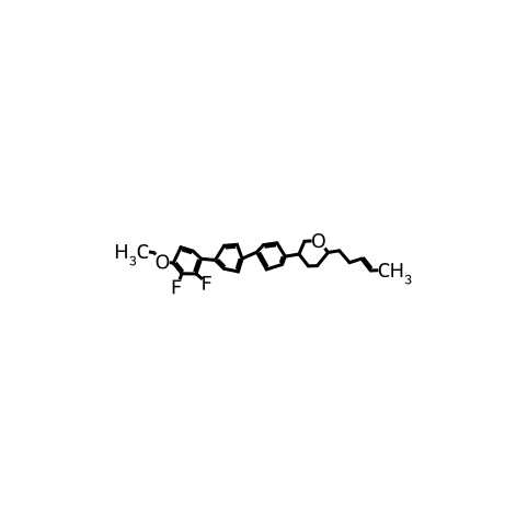 C/C=C/CCC1CCC(c2ccc(-c3ccc(-c4ccc(OCC)c(F)c4F)cc3)cc2)CO1